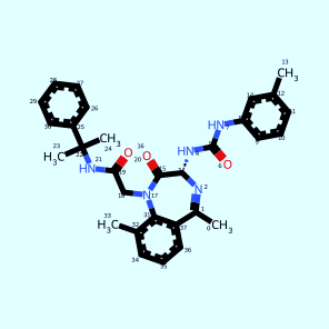 CC1=N[C@@H](NC(=O)Nc2cccc(C)c2)C(=O)N(CC(=O)NC(C)(C)c2ccccc2)c2c(C)cccc21